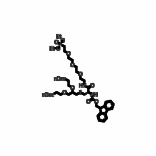 CCCCCCCCCCCCOCC(CSC[C@H](NC(=O)OCC1c2ccccc2-c2ccccc21)C(=O)NCCOCCOCCOCCP(=O)(OCC)OCC)OCCCCCCCCCCCC